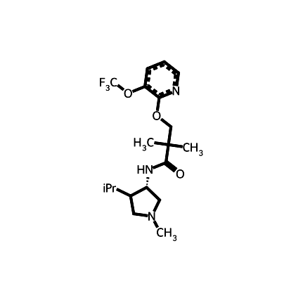 CC(C)C1CN(C)C[C@H]1NC(=O)C(C)(C)COc1ncccc1OC(F)(F)F